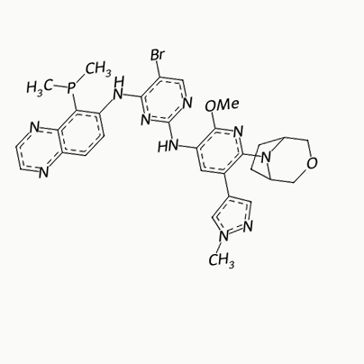 COc1nc(N2C3CCC2COC3)c(-c2cnn(C)c2)cc1Nc1ncc(Br)c(Nc2ccc3nccnc3c2P(C)C)n1